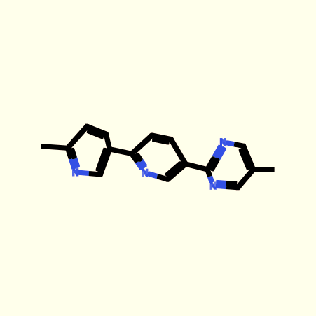 Cc1cnc(-c2ccc(-c3ccc(C)nc3)nc2)nc1